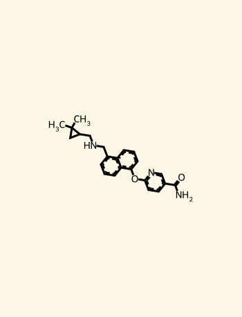 CC1(C)CC1CNCc1cccc2c(Oc3ccc(C(N)=O)cn3)cccc12